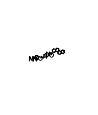 C1=CC=CNC=C1.COCCN1CCN(CC(=O)C2C=c3c(ccc4c3=CCc3ccccc3-4)CC2)CC1